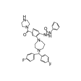 O=C(Nc1ccccc1)Nc1ccc(C(=O)N2CCNCC2)cc1N1CCCN(C(c2ccc(F)cc2)c2ccc(F)cc2)CC1